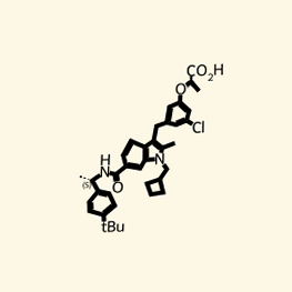 Cc1c(Cc2cc(Cl)cc(O[C@H](C)C(=O)O)c2)c2ccc(C(=O)N[C@@H](C)c3ccc(C(C)(C)C)cc3)cc2n1CC1CCC1